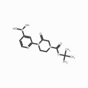 CC(C)(C)OC(=O)N1CCN(c2cc(B(O)O)ccn2)C(=O)C1